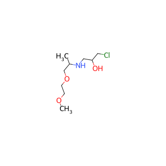 COCCOCC(C)NCC(O)CCl